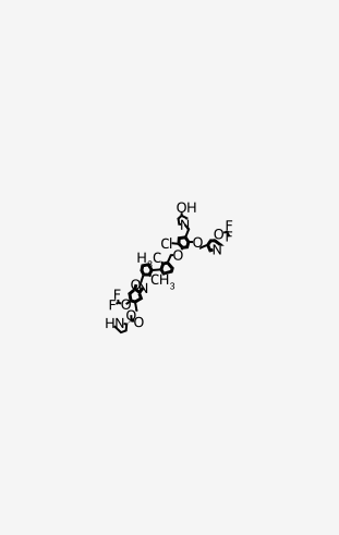 Cc1c(COc2cc(OCc3cncc(OC(F)F)c3)c(CN3CCC(O)C3)cc2Cl)cccc1-c1cccc(-c2nc3cc(COC(=O)[C@@H]4CCCN4)c(OC(F)F)cc3o2)c1C